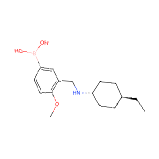 CC[C@H]1CC[C@H](NCc2cc(B(O)O)ccc2OC)CC1